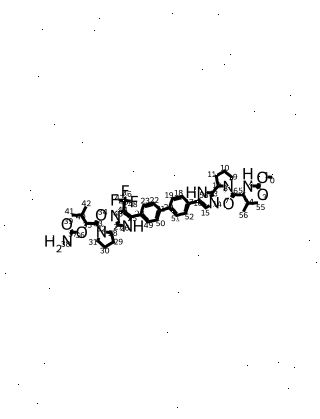 COC(=O)N[C@H](C(=O)N1CCCC1c1ncc(-c2ccc(-c3ccc(-c4[nH]c([C@@H]5CCCN5C(=O)[C@@H](OC(N)=O)C(C)C)nc4C(F)(F)F)cc3)cc2)[nH]1)C(C)C